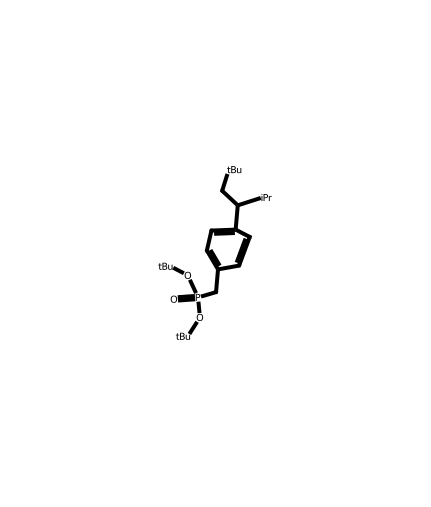 CC(C)C(CC(C)(C)C)c1ccc(CP(=O)(OC(C)(C)C)OC(C)(C)C)cc1